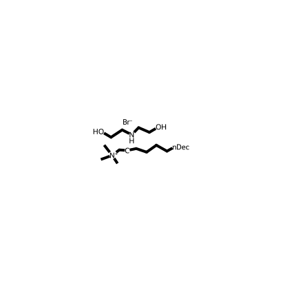 CCCCCCCCCCCCCCCC[N+](C)(C)C.OCCNCCO.[Br-]